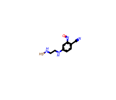 N#Cc1ccc(NCCNS)cc1N=O